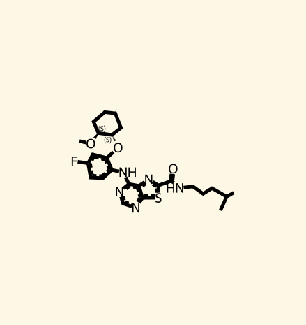 CO[C@H]1CCCC[C@@H]1Oc1cc(F)ccc1Nc1ncnc2sc(C(=O)NCCCC(C)C)nc12